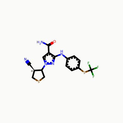 N#C[C@@H]1CSCC1n1cc(C(N)=O)c(Nc2ccc(SC(F)(F)F)cc2)n1